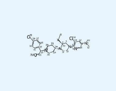 CC[C@H]1CN(c2ncc(N(C)C)cc2Cl)CCN1C1CCN(C(CO)c2ccc(Cl)cc2)CC1